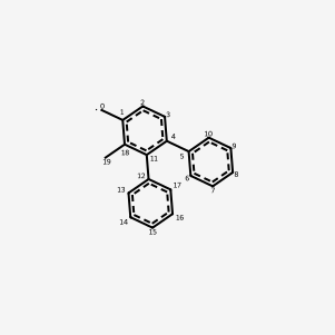 [CH2]c1ccc(-c2ccccc2)c(-c2ccccc2)c1C